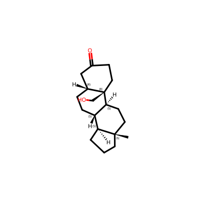 C[C@@]12CCC[C@H]1[C@@H]1CC[C@@H]3CC(=O)CC[C@]3(CO)[C@H]1CC2